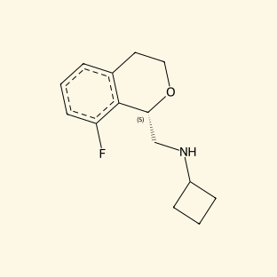 Fc1cccc2c1[C@@H](CNC1CCC1)OCC2